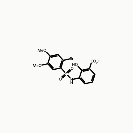 COc1cc(Br)c(S(=O)(=O)Nc2cccc(C(=O)O)c2O)cc1OC